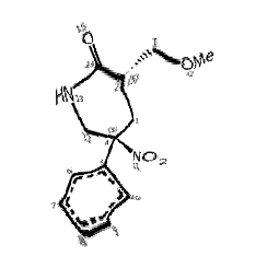 COC[C@@H]1C[C@@](c2ccccc2)([N+](=O)[O-])CNC1=O